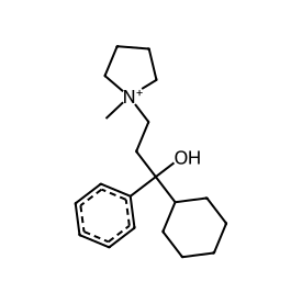 C[N+]1(CCC(O)(c2ccccc2)C2CCCCC2)CCCC1